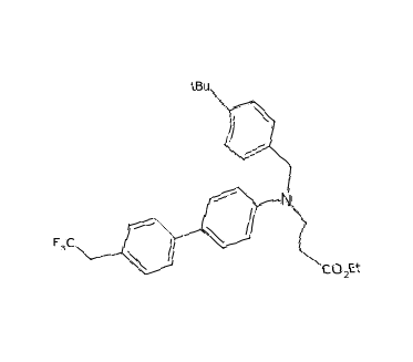 CCOC(=O)CCN(Cc1ccc(C(C)(C)C)cc1)c1ccc(-c2ccc(CC(F)(F)F)cc2)cc1